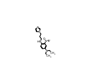 CCN(CC)c1ccc(NCCCn2ccnc2)c([N+](=O)[O-])c1